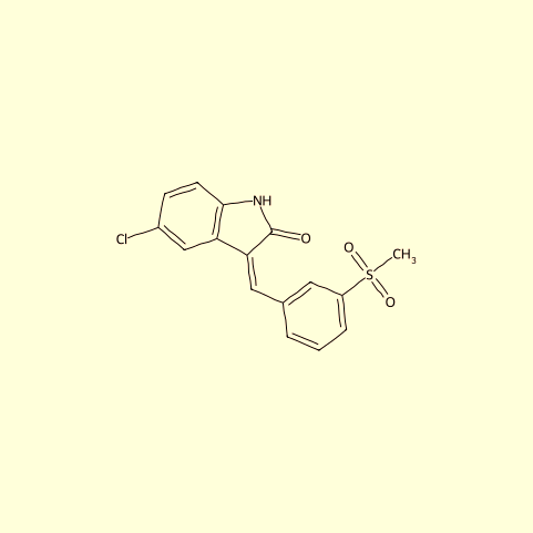 CS(=O)(=O)c1cccc(C=C2C(=O)Nc3ccc(Cl)cc32)c1